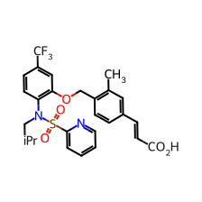 Cc1cc(/C=C/C(=O)O)ccc1COc1cc(C(F)(F)F)ccc1N(CC(C)C)S(=O)(=O)c1ccccn1